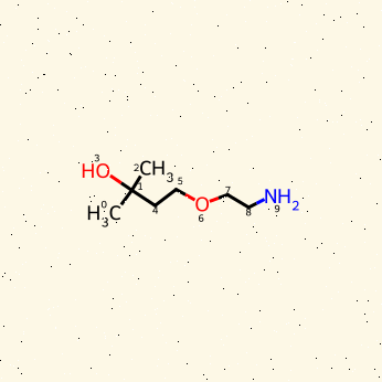 CC(C)(O)CCOCCN